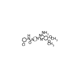 COc1cc2nc(N3CCN(C(=O)Nc4cccc(Cl)c4)CC3)nc(N)c2cc1OC